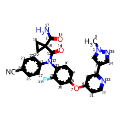 Cn1cc(-c2cc(Oc3ccc(N(C(=O)C4(C(N)=O)CC4)c4ccc(C#N)cc4)c(F)c3)ccn2)cn1